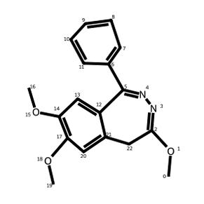 COC1=NN=C(c2ccccc2)c2cc(OC)c(OC)cc2C1